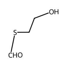 O=CSCCO